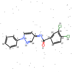 O=C(N=c1ccn(-c2ccccc2)nc1)c1ccc(Cl)c(Cl)c1